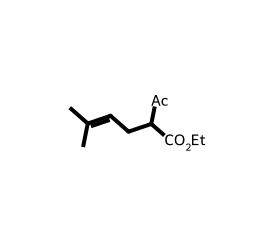 CCOC(=O)C(CC=C(C)C)C(C)=O